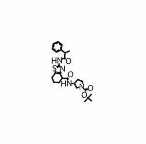 CC(C(=O)Nc1nc2c(s1)CCCC2C(=O)NC1CCN(C(=O)OC(C)(C)C)C1)c1ccccc1